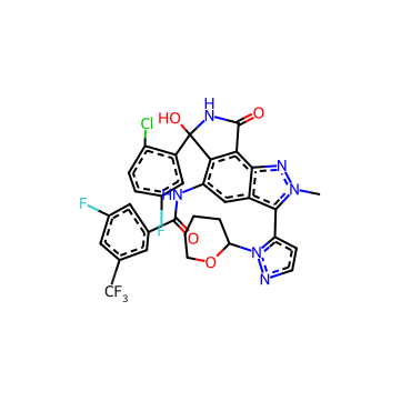 Cn1nc2c3c(c(NC(=O)c4cc(F)cc(C(F)(F)F)c4)cc2c1-c1ccnn1C1CCCCO1)C(O)(c1cc(F)ccc1Cl)NC3=O